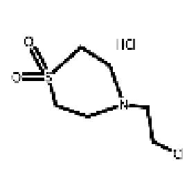 Cl.O=S1(=O)CCN(CCCl)CC1